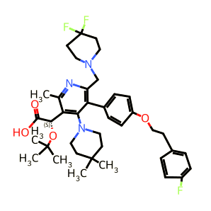 Cc1nc(CN2CCC(F)(F)CC2)c(-c2ccc(OCCc3ccc(F)cc3)cc2)c(N2CCC(C)(C)CC2)c1[C@H](OC(C)(C)C)C(=O)O